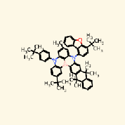 Cc1cc2c3c(c1)N(c1ccc(C(C)(C)C)c4oc5ccccc5c14)c1cc4c(cc1B3c1cc(C(C)(C)C)ccc1N2c1ccc(C(C)(C)C)cc1)C(C)(C)c1ccccc1C4(C)C